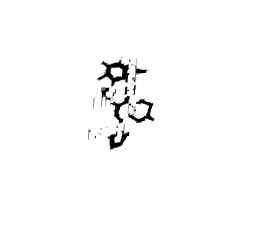 Cc1nc2cc(C)c(C)c(S(=O)(=O)NC(CCn3cccc3C#N)C(=O)N3CCC(C)CC3)c2[nH]1